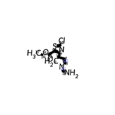 C=C(/C=C\N=C/N)c1nc(Cl)sc1C(=O)OCC